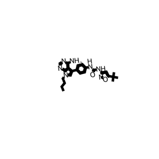 CCCCn1cc(-c2ccc(NC(=O)Nc3cc(C(C)(C)C)on3)cc2)c2c(N)ncnc21